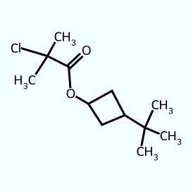 CC(C)(Cl)C(=O)OC1CC(C(C)(C)C)C1